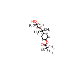 CCC(C)(C)C(=O)OC1CCC(C(C)(C)OCC(O)(C(F)(F)F)C(F)(F)F)CC1